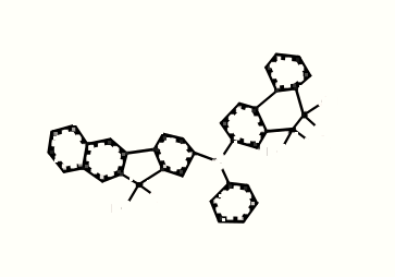 CC1(C)c2cc(N(c3ccccc3)c3ccc4c(c3)C(C)(C)C(C)(C)c3ccccc3-4)ccc2-c2cc3ccccc3cc21